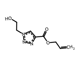 C=CCOC(=O)c1cn(CCO)nn1